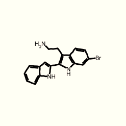 NCCc1c(-c2cc3ccccc3[nH]2)[nH]c2cc(Br)ccc12